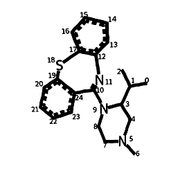 CC(C)C1CN(C)CCN1C1=Nc2ccccc2Sc2ccccc21